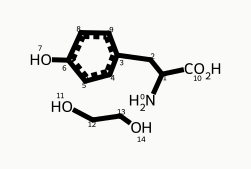 NC(Cc1ccc(O)cc1)C(=O)O.OCCO